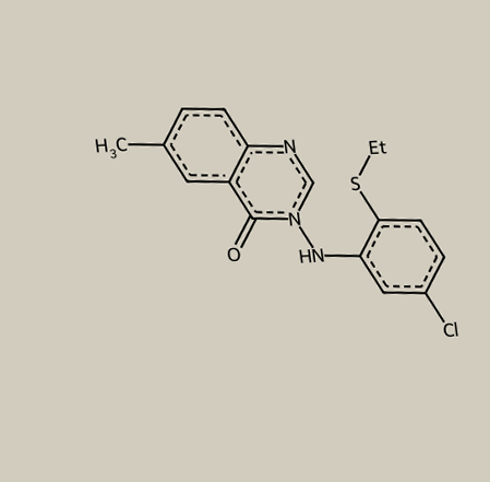 CCSc1ccc(Cl)cc1Nn1cnc2ccc(C)cc2c1=O